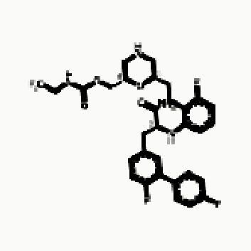 NC(=O)[C@H](Cc1ccc(F)c(-c2ccc(F)cc2)c1)Nc1cccc(F)c1CC[C@@H]1CNC[C@@H](COC(=O)NCC(F)(F)F)O1